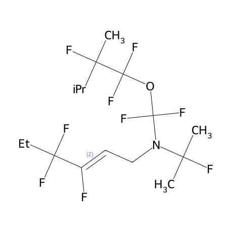 CCC(F)(F)/C(F)=C/CN(C(C)(C)F)C(F)(F)OC(F)(F)C(C)(F)C(C)C